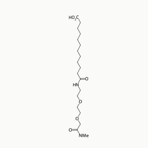 CNC(=O)COCCOCCNC(=O)CCCCCCCCCCC(=O)O